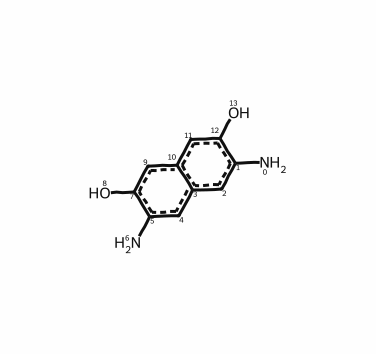 Nc1cc2cc(N)c(O)cc2cc1O